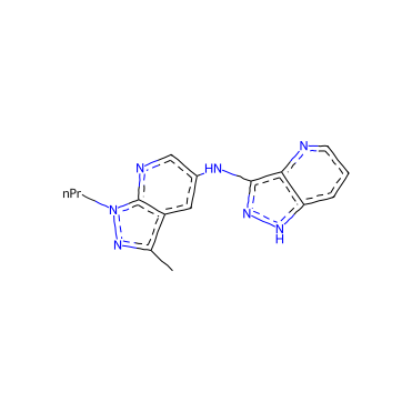 CCCn1nc(C)c2cc(Nc3n[nH]c4cccnc34)cnc21